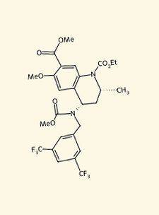 CCOC(=O)N1c2cc(C(=O)OC)c(OC)cc2[C@@H](N(Cc2cc(C(F)(F)F)cc(C(F)(F)F)c2)C(=O)OC)C[C@H]1C